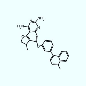 Cc1ccc(-c2cccc(Oc3cc4nc(N)nc(N)c4c4c3C(C)CO4)c2)c2ccccc12